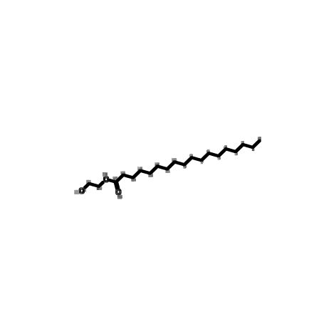 CCCCCCCCCCCCCCCCCC(=O)OCC[O]